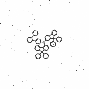 c1ccc(-c2ccccc2-c2ccc(N(c3ccc4c(c3)C(c3ccccc3)(c3ccccc3)c3ccccc3-4)c3cccc4c3-c3ccccc3C4(c3ccccc3)c3ccccc3)cc2)cc1